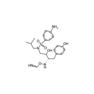 CC(C)CN(CC(O)[C@@H](BOC=N)Cc1ccc(O)cc1)S(=O)(=O)c1ccc(N)cc1